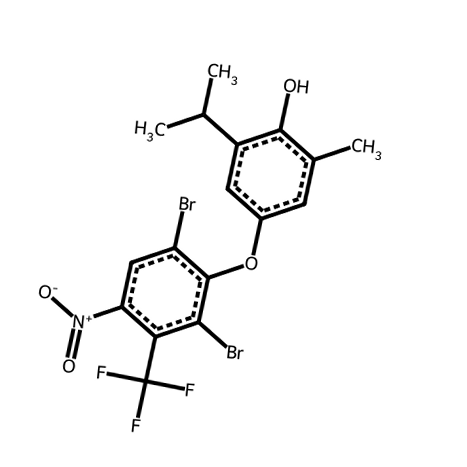 Cc1cc(Oc2c(Br)cc([N+](=O)[O-])c(C(F)(F)F)c2Br)cc(C(C)C)c1O